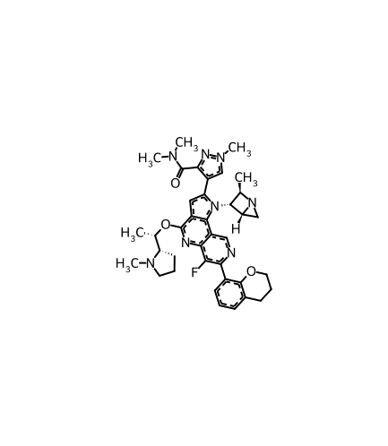 C[C@H](Oc1nc2c(F)c(-c3cccc4c3OCCC4)ncc2c2c1cc(-c1cn(C)nc1C(=O)N(C)C)n2[C@@H]1[C@@H](C)N2C[C@H]12)[C@@H]1CCCN1C